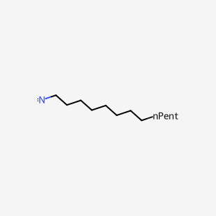 CCCCCCCCCCCCC[N]